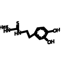 CCCCCCNC(=S)NCCc1ccc(O)c(O)c1